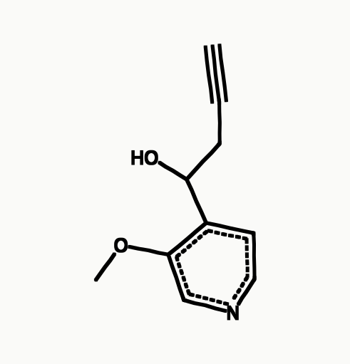 C#CCC(O)c1ccncc1OC